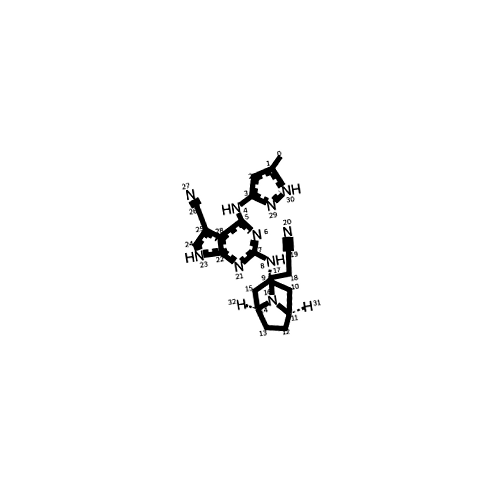 Cc1cc(Nc2nc(N[C@@H]3C[C@H]4CC[C@@H](C3)N4CCC#N)nc3[nH]cc(C#N)c23)n[nH]1